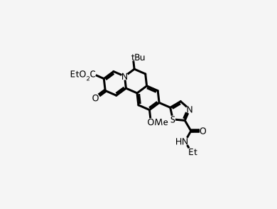 CCNC(=O)c1ncc(-c2cc3c(cc2OC)-c2cc(=O)c(C(=O)OCC)cn2C(C(C)(C)C)C3)s1